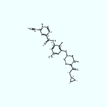 Cc1c(CN2CCN(C(=O)CC3CC3)C(C)C2)cc(Cl)cc1NC(=O)c1ccnc(C#N)c1